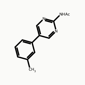 CC(=O)Nc1ncc(-c2cccc(C)c2)cn1